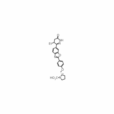 CCC1CC(=O)NN=C1c1ccc2nc(-c3ccc(OC[C@@H]4CCCN4C(=O)O)cc3)oc2c1